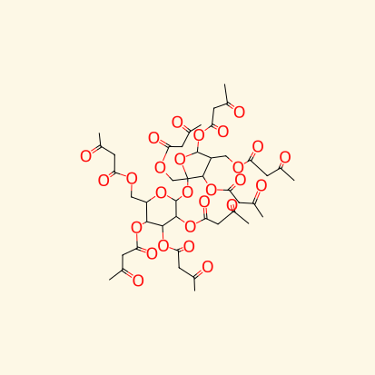 CC(=O)CC(=O)OCC1OC(OC2(COC(=O)CC(C)=O)OC(OC(=O)CC(C)=O)C(COC(=O)CC(C)=O)C2OC(=O)CC(C)=O)C(OC(=O)CC(C)=O)C(OC(=O)CC(C)=O)C1OC(=O)CC(C)=O